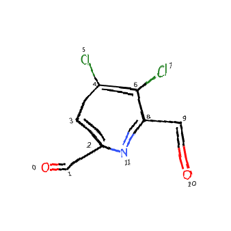 O=Cc1cc(Cl)c(Cl)c(C=O)n1